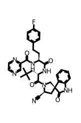 CC(C)(C)C[C@H](NC(=O)[C@H](CCc1ccc(F)cc1)NC(=O)c1cnccn1)C(=O)N1C[C@]2(C[C@H]1C#N)C(=O)Nc1ccccc12